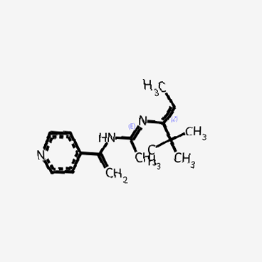 C=C(N/C(C)=N/C(=C\C)C(C)(C)C)c1ccncc1